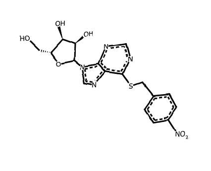 O=[N+]([O-])c1ccc(CSc2ncnc3c2ncn3C2O[C@H](CO)[C@@H](O)[C@H]2O)cc1